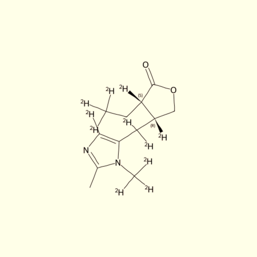 [2H]c1nc(C)n(C([2H])([2H])[2H])c1C([2H])([2H])[C@@]1([2H])COC(=O)[C@@]1([2H])CC([2H])([2H])[2H]